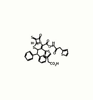 O=C(O)Cc1csc(C2=C(C(=O)ONC(=O)Cc3cccs3)N3C(=O)C(=S)[C@@H]3SC2C(c2ccccc2)c2ccccc2)n1